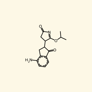 CC(C)OC1=NC(=O)CC1C1Cc2c(N)cccc2C1=O